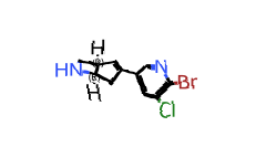 Clc1cc(C2=C[C@@H]3CN[C@@H]3C2)cnc1Br